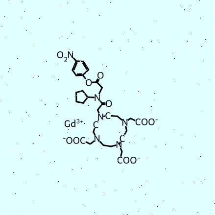 O=C([O-])CN1CCN(CC(=O)[O-])CCN(CC(=O)N(CC(=O)Oc2ccc([N+](=O)[O-])cc2)C2CCCC2)CCN(CC(=O)[O-])CC1.[Gd+3]